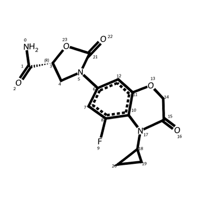 NC(=O)[C@H]1CN(c2cc(F)c3c(c2)OCC(=O)N3C2CC2)C(=O)O1